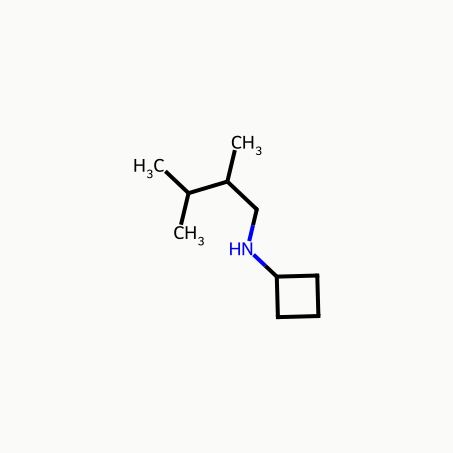 CC(C)C(C)CNC1CCC1